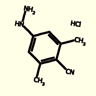 Cc1cc(NN)cc(C)c1C#N.Cl